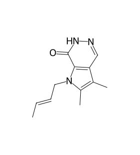 C/C=C/Cn1c(C)c(C)c2cn[nH]c(=O)c21